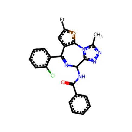 CCc1cc2c(s1)-n1c(C)nnc1C(NC(=O)c1ccccc1)N=C2c1ccccc1Cl